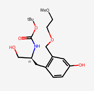 COCCOCc1cc(O)ccc1C[C@@H](CO)NC(=O)OC(C)(C)C